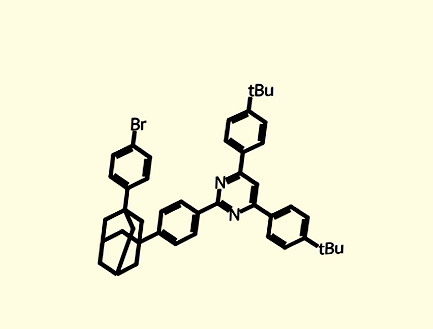 CC(C)(C)c1ccc(-c2cc(-c3ccc(C(C)(C)C)cc3)nc(-c3ccc(C45CC6CC(CC(c7ccc(Br)cc7)(C6)C4)C5)cc3)n2)cc1